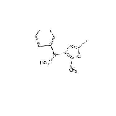 Cc1cc(N(C(=O)O)c2ccccc2)c(C(F)(F)F)o1